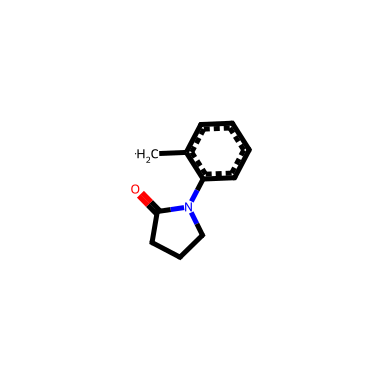 [CH2]c1ccccc1N1CCCC1=O